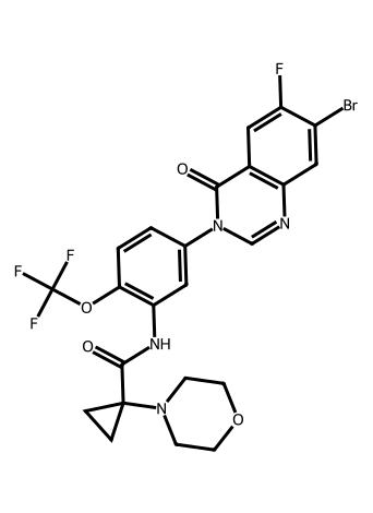 O=C(Nc1cc(-n2cnc3cc(Br)c(F)cc3c2=O)ccc1OC(F)(F)F)C1(N2CCOCC2)CC1